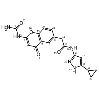 NC(=O)Nc1cc(=O)c2cc(CC(=O)Nc3cc(C4CC4)[nH]n3)ccc2o1